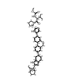 COC(=O)N[C@H](C(=O)N1CCC[C@H]1c1ncc(-c2ccc3c(c2)OCc2cc(-c4ccc5nc(C6C7CCC(C7)N6C)[nH]c5c4)ccc2-3)[nH]1)C(C)C